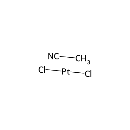 CC#N.[Cl][Pt][Cl]